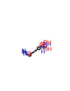 CC(O)C(NC(=O)c1ccc(C#CC#Cc2ccc(CN3CCN(C)CC3)o2)cc1)C(=O)NO